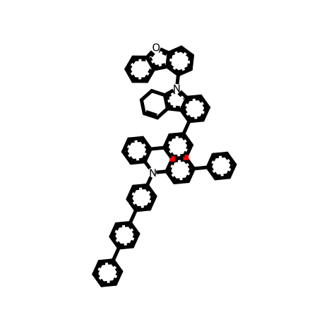 C1=Cc2c(n(-c3cccc4oc5ccccc5c34)c3cccc(-c4cccc(-c5ccccc5N(c5ccc(-c6ccccc6)cc5)c5ccc(-c6ccc(-c7ccccc7)cc6)cc5)c4)c23)CC1